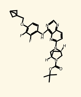 CC(C)(C)OC(=O)N1C[C@@H]2C[C@H]1CN2c1ccc2ncnc(Nc3ccc(OCC45CC(C4)C5)c(F)c3F)c2n1